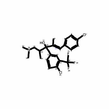 C/C(=C\c1ccc(Cl)cc1)C(O)(c1ccc(Cl)c(C(F)(F)F)c1)C(C)CN(C)C